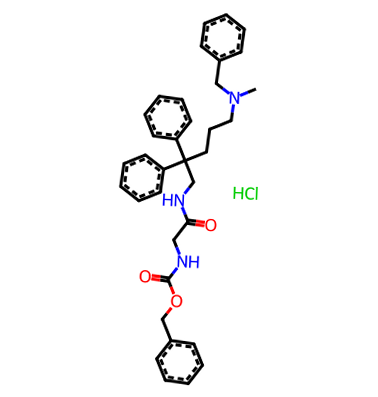 CN(CCCC(CNC(=O)CNC(=O)OCc1ccccc1)(c1ccccc1)c1ccccc1)Cc1ccccc1.Cl